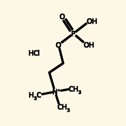 C[N+](C)(C)CCOP(=O)(O)O.Cl